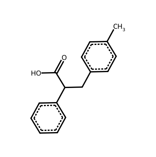 Cc1ccc(CC(C(=O)O)c2ccccc2)cc1